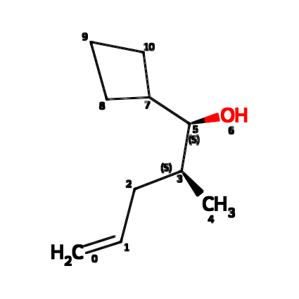 C=CC[C@H](C)[C@H](O)C1CCC1